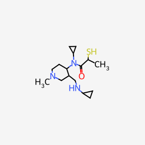 CC(S)C(=O)N(C1CC1)C1CCN(C)CC1CNC1CC1